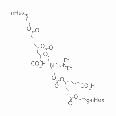 CCCCCCSCCOC(=O)CCCC(CCCC(=O)O)OC(=O)OCCN(CCOC(=O)OC(CCCC(=O)O)CCCC(=O)OCCSCCCCCC)CCN(CC)CC